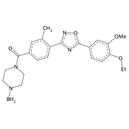 BN1CCN(C(=O)c2ccc(-c3noc(-c4ccc(OCC)c(OC)c4)n3)c(C)c2)CC1